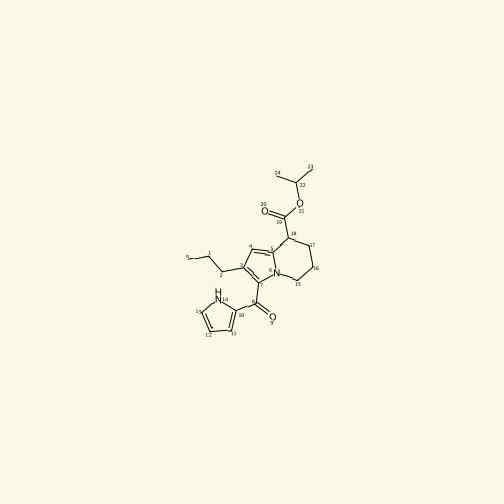 CCCc1cc2n(c1C(=O)c1ccc[nH]1)CCCC2C(=O)OC(C)C